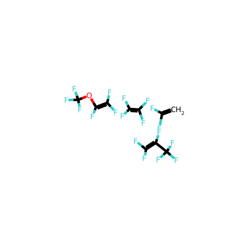 C=C(F)F.FC(F)=C(F)C(F)(F)F.FC(F)=C(F)F.FC(F)=C(F)OC(F)(F)F